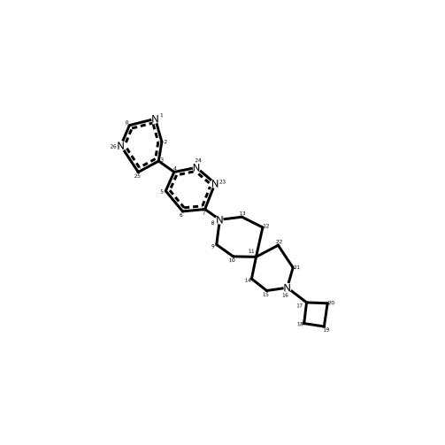 c1ncc(-c2ccc(N3CCC4(CC3)CCN(C3CCC3)CC4)nn2)cn1